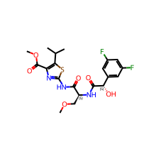 COC[C@H](NC(=O)[C@@H](O)c1cc(F)cc(F)c1)C(=O)Nc1nc(C(=O)OC)c(C(C)C)s1